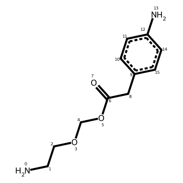 NCCOCOC(=O)Cc1ccc(N)cc1